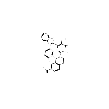 Cc1ccccc1[C@@H]1c2cc(C(N)=O)ccc2CCN1c1nc(-c2nc3ccccc3o2)c(O)c(=O)n1C